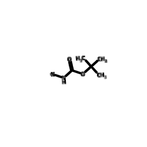 CC(C)(C)OC(=O)N[N]